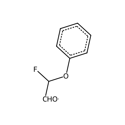 O=[C]C(F)Oc1ccccc1